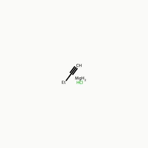 C#CCC.Cl.[MgH2]